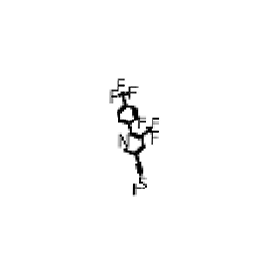 FC(F)(F)c1ccc(-c2ncc(C#CSI)cc2C(F)(F)F)cc1